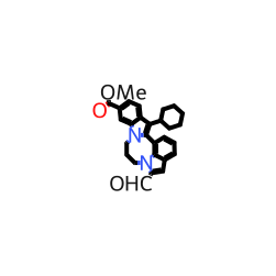 COC(=O)c1ccc2c(C3CCCCC3)c3n(c2c1)CCCn1c(C=O)cc2cccc-3c21